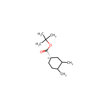 CC1CC[C@H](C(=O)OC(C)(C)C)CC1C